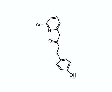 CC(=O)c1cncc(CC(=O)CCc2ccc(O)cc2)n1